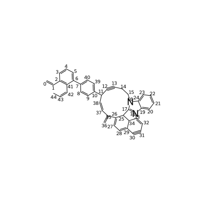 C=Cc1cccc(-c2ccc(C3C#CCCn4c(nc5ccccc54)C4C(=CC=C5C#CC=CC54)C(=C)/C=C\3)cc2)c1/C=C\C